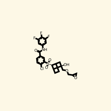 O=C(Nc1cc(F)c(F)c(F)c1)c1ccc(Cl)c(S(=O)(=O)[C@H]2C3CCC34C2C[C@]4(O)COCC2CO2)c1